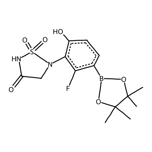 CC1(C)OB(c2ccc(O)c(N3CC(=O)NS3(=O)=O)c2F)OC1(C)C